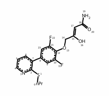 CCCSc1ncccc1-c1cc(F)c(OC/C(O)=C/C(N)=O)c(F)c1